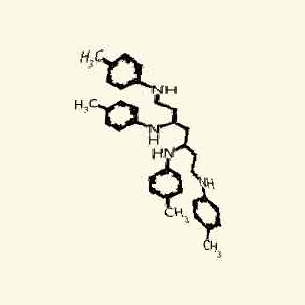 Cc1ccc(NCCC(CC(CCNc2ccc(C)cc2)Nc2ccc(C)cc2)Nc2ccc(C)cc2)cc1